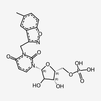 Cc1ccc2onc(Cn3c(=O)ccn([C@@H]4O[C@H](COP(=O)(O)O)[C@H](O)C4O)c3=O)c2c1